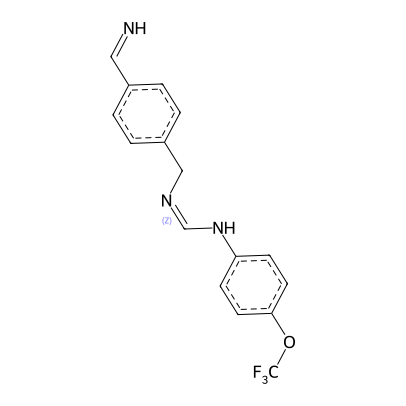 N=Cc1ccc(C/N=C\Nc2ccc(OC(F)(F)F)cc2)cc1